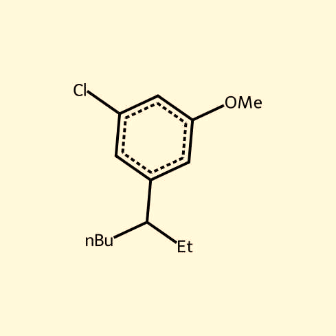 CCCCC(CC)c1cc(Cl)cc(OC)c1